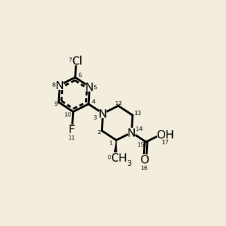 C[C@H]1CN(c2nc(Cl)ncc2F)CCN1C(=O)O